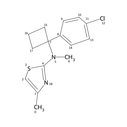 Cc1csc(N(C)C2(c3ccc(Cl)cc3)CCC2)n1